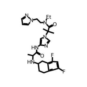 CCN(CCn1cccn1)C(=O)C(C)(C)n1cnc(NC(=O)C(C)NC2CCc3cc(F)cc(F)c3C2)c1